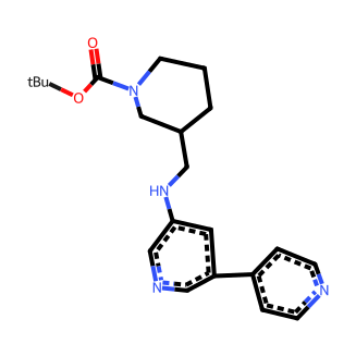 CC(C)(C)OC(=O)N1CCCC(CNc2cncc(-c3ccncc3)c2)C1